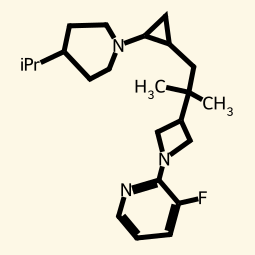 CC(C)C1CCN(C2CC2CC(C)(C)C2CN(c3ncccc3F)C2)CC1